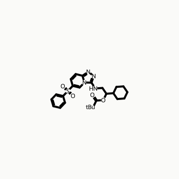 CC(C)(C)C(=O)OC(CNc1nnc2ccc(S(=O)(=O)c3ccccc3)cn12)C1CCCCC1